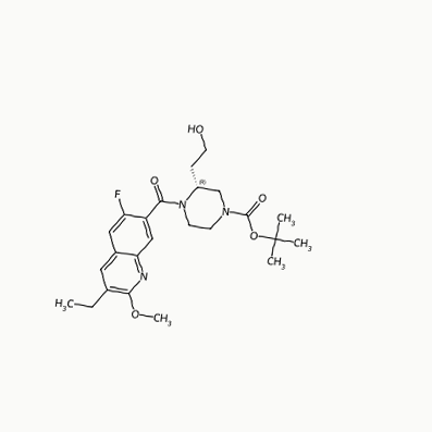 CCc1cc2cc(F)c(C(=O)N3CCN(C(=O)OC(C)(C)C)C[C@H]3CCO)cc2nc1OC